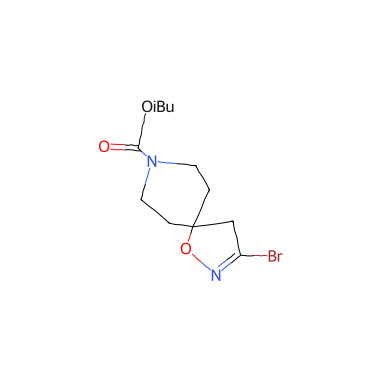 CC(C)COC(=O)N1CCC2(CC1)CC(Br)=NO2